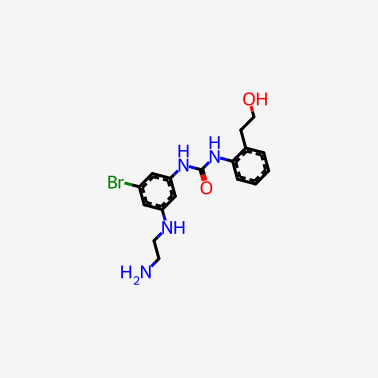 NCCNc1cc(Br)cc(NC(=O)Nc2ccccc2CCO)c1